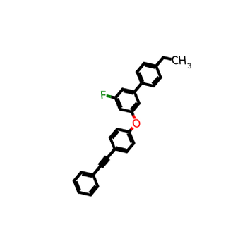 CCc1ccc(-c2cc(F)cc(Oc3ccc(C#Cc4ccccc4)cc3)c2)cc1